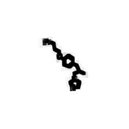 CC(C)CCCOc1ccc(CC(C)Cn2ccnc2)cc1